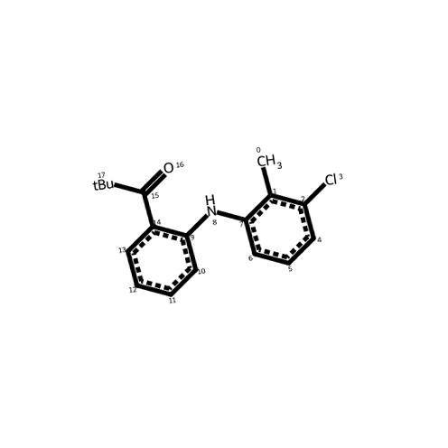 Cc1c(Cl)cccc1Nc1ccccc1C(=O)C(C)(C)C